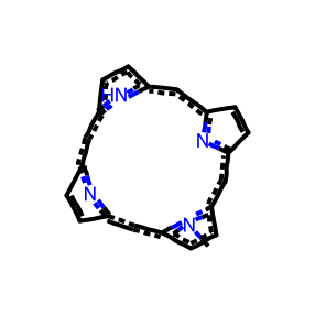 Cn1c2ccc1cc1nc(cc3ccc(cc4nc(c2)C=C4)[nH]3)C=C1